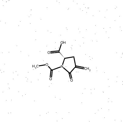 C=C1C[C@@H](C(=O)O)N(C(=O)OC)C1=O